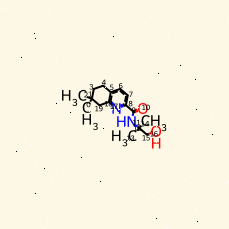 CC1(C)CCc2ccc(C(=O)NC(C)(C)CO)nc2C1